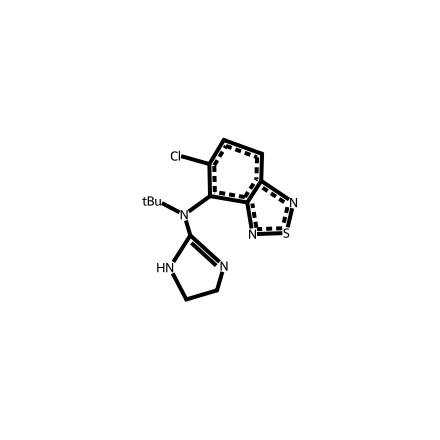 CC(C)(C)N(C1=NCCN1)c1c(Cl)ccc2nsnc12